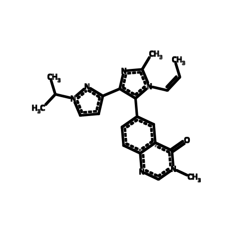 C/C=C\n1c(C)nc(-c2ccn(C(C)C)n2)c1-c1ccc2ncn(C)c(=O)c2c1